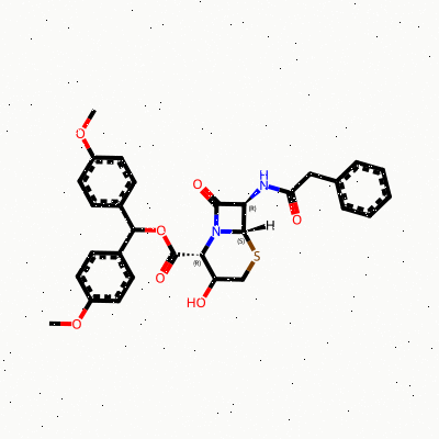 COc1ccc(C(OC(=O)[C@H]2C(O)CS[C@H]3[C@H](NC(=O)Cc4ccccc4)C(=O)N23)c2ccc(OC)cc2)cc1